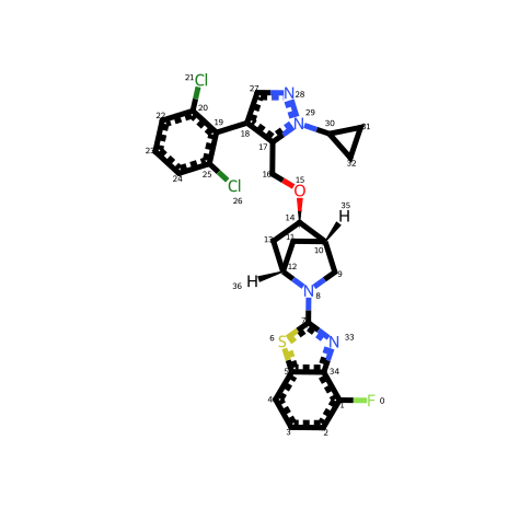 Fc1cccc2sc(N3C[C@@H]4C[C@H]3C[C@H]4OCc3c(-c4c(Cl)cccc4Cl)cnn3C3CC3)nc12